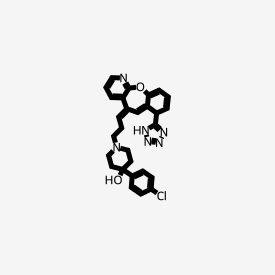 OC1(c2ccc(Cl)cc2)CCN(CCC=C2C=C3C(=CC=CC3c3nnn[nH]3)Oc3ncccc32)CC1